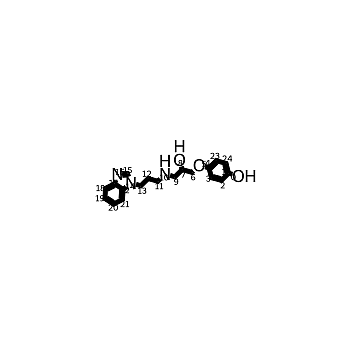 Oc1ccc(OCC(O)CNCCCn2cnc3ccccc32)cc1